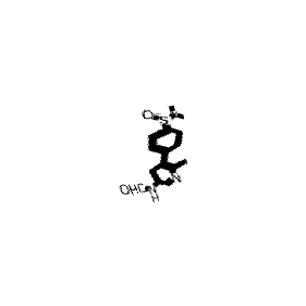 Cc1ncc(NC=O)cc1-c1ccc([S+]([O-])N(C)C)cc1